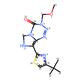 COCN1N=NC2=C(c3nc(C(C)(C)C)cs3)NCN2C1=O